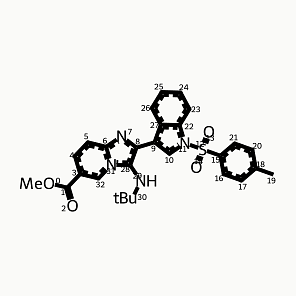 COC(=O)c1ccc2nc(-c3cn(S(=O)(=O)c4ccc(C)cc4)c4ccccc34)c(NC(C)(C)C)n2c1